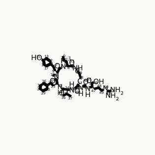 CC[C@H](C)[C@@H]1NC(=O)[C@H](CCc2ccc(O)cc2)N(C)C(=O)[C@H](CCc2ccccc2)NC(=O)[C@H](C(C)C)NC(=O)[C@H](NC(=O)N[C@@H](CCCN=C(N)N)C(=O)O)CCCCNC1=O